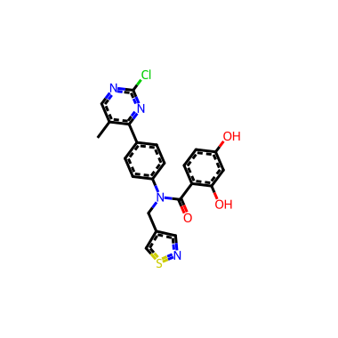 Cc1cnc(Cl)nc1-c1ccc(N(Cc2cnsc2)C(=O)c2ccc(O)cc2O)cc1